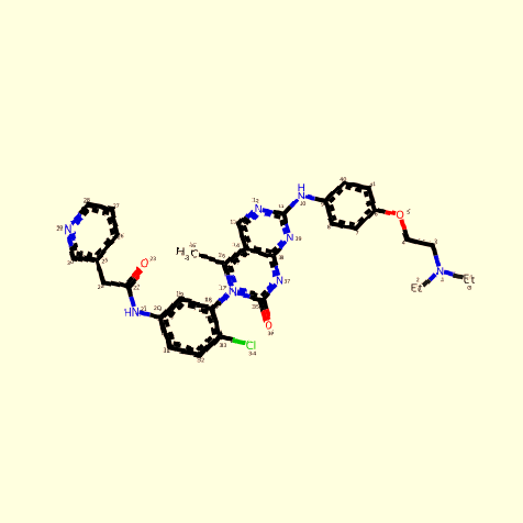 CCN(CC)CCOc1ccc(Nc2ncc3c(C)n(-c4cc(NC(=O)Cc5cccnc5)ccc4Cl)c(=O)nc3n2)cc1